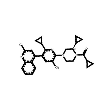 N#Cc1cc(-c2cc(Cl)nc3ccccc23)c(C2CC2)nc1N1CCN(C(=O)C2CC2)[C@H](C2CC2)C1